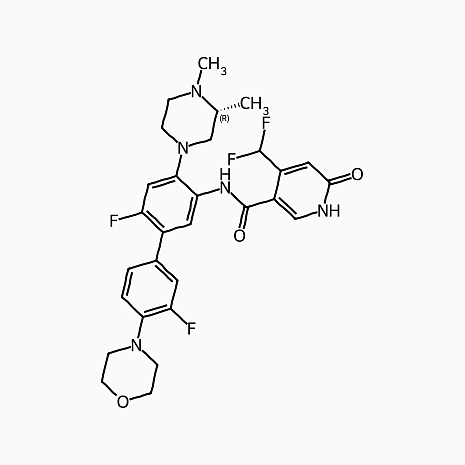 C[C@@H]1CN(c2cc(F)c(-c3ccc(N4CCOCC4)c(F)c3)cc2NC(=O)c2c[nH]c(=O)cc2C(F)F)CCN1C